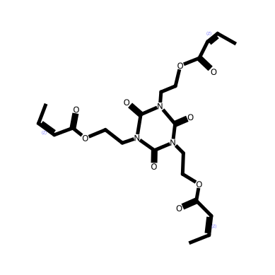 C/C=C\C(=O)OCCn1c(=O)n(CCOC(=O)/C=C\C)c(=O)n(CCOC(=O)/C=C\C)c1=O